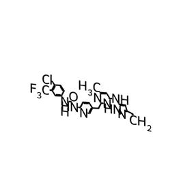 C=Cc1cc(Nc2cc(C)nc(Cc3ccc(NC(=O)Nc4ccc(Cl)c(C(F)(F)F)c4)nc3)n2)[nH]n1